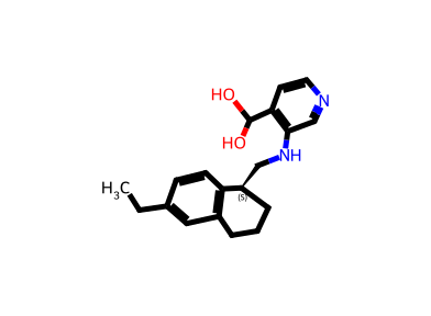 CCc1ccc2c(c1)CCC[C@@H]2CNc1cnccc1C(O)O